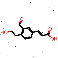 O=Cc1cc(C=CC(=O)O)ccc1CCO